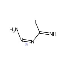 N=C(I)/N=N\N